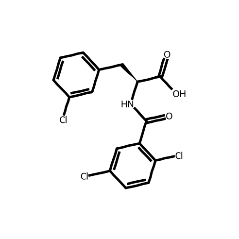 O=C(N[C@@H](Cc1cccc(Cl)c1)C(=O)O)c1cc(Cl)ccc1Cl